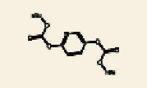 CCCCOC(=O)Oc1ccc(OC(=O)OCCCC)nc1